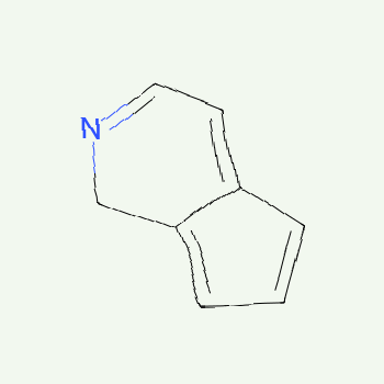 C1=CC2=CC=NCC2=C1